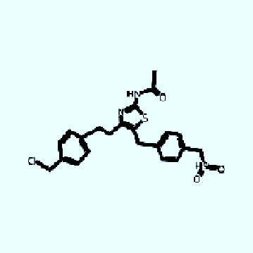 CC(=O)Nc1nc(CCc2ccc(CCl)cc2)c(Cc2ccc(C[SH](=O)=O)cc2)s1